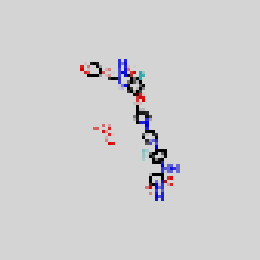 O=C1CCC(Nc2ccc(N3CCC(N4CCC(COc5cc(F)c6c(=O)[nH]c(COC7CCOCC7)nc6c5)CC4)CC3)c(F)c2)C(=O)N1.O=CO